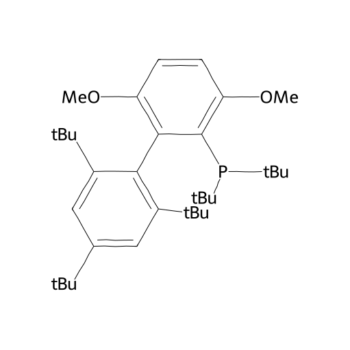 COc1ccc(OC)c(P(C(C)(C)C)C(C)(C)C)c1-c1c(C(C)(C)C)cc(C(C)(C)C)cc1C(C)(C)C